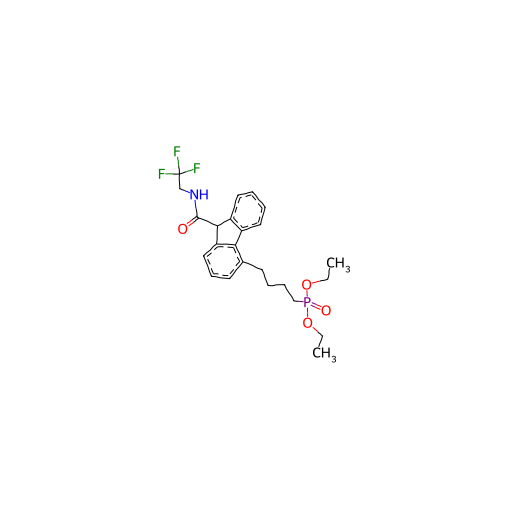 CCOP(=O)(CCCCc1cccc2c1-c1ccccc1C2C(=O)NCC(F)(F)F)OCC